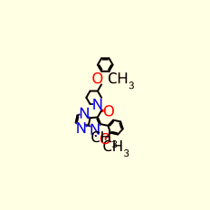 COc1ccccc1-c1c(C(=O)N2CCCC(COc3ccccc3C)C2)c2nccnc2n1C